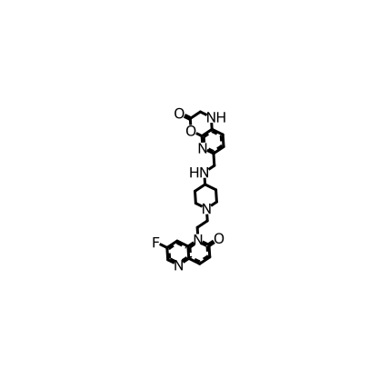 O=C1CNc2ccc(CNC3CCN(CCn4c(=O)ccc5ncc(F)cc54)CC3)nc2O1